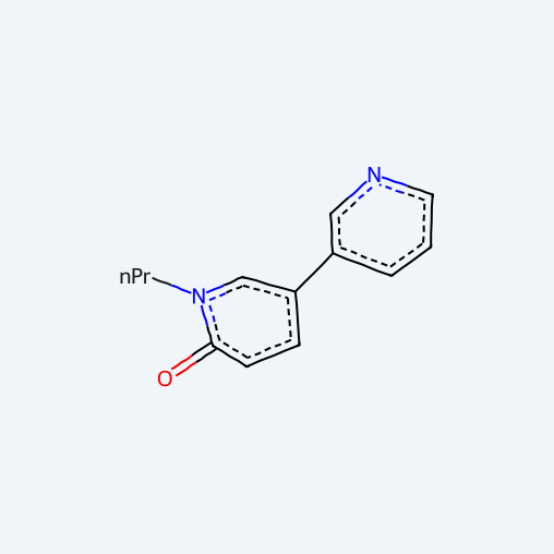 CCCn1cc(-c2cccnc2)ccc1=O